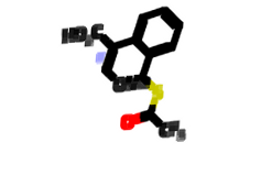 CO/C=C(/C(=O)O)c1ccccc1CSC(=O)C(F)(F)F